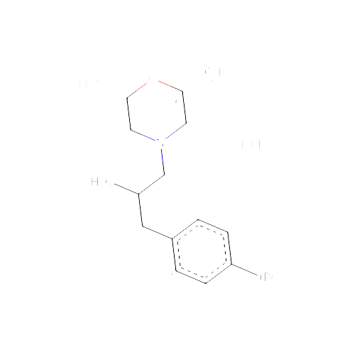 CC(Cc1ccc(C(C)(C)C)cc1)CN1C[C@@H](C)O[C@@H](C)C1.Cl